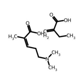 C=C(CC)C(=O)O.CC(=CCCN(C)C)C(=O)O